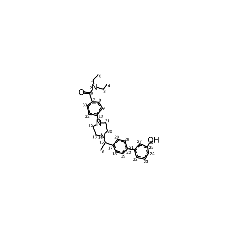 CCN(CC)C(=O)c1ccc(N2CCN(C(C)c3ccc(-c4cccc(O)c4)cc3)CC2)cc1